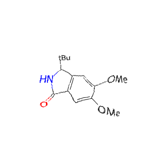 COc1cc2c(cc1OC)C(C(C)(C)C)NC2=O